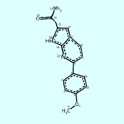 COc1ccc(-c2ccc3cc(C(N)=O)[nH]c3n2)cc1